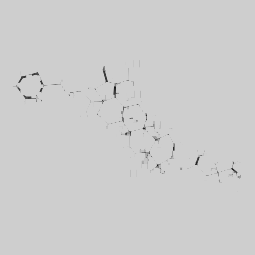 CC(C)C1=C2C(C(O)CNCc3ccccn3)(CC[C@]3(C)[C@]2(C)CC[C@@H]2[C@@]4(C)CC[C@H](OC(=O)CC(C)(C)C(=O)O)C(C)(C)[C@@H]4CC[C@]23C)CC1=O